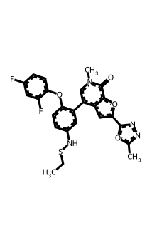 CCSNc1ccc(Oc2ccc(F)cc2F)c(-c2cn(C)c(=O)c3oc(-c4nnc(C)o4)cc23)c1